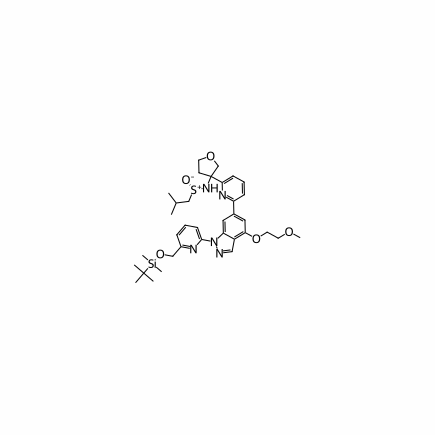 COCCOc1cc(-c2cccc(C3(N[S@+]([O-])CC(C)C)CCOC3)n2)cc2c1cnn2-c1cccc(CO[Si](C)(C)C(C)(C)C)n1